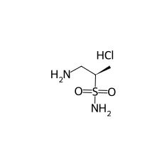 C[C@H](CN)S(N)(=O)=O.Cl